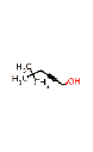 CC(C)(C)CC#CCO